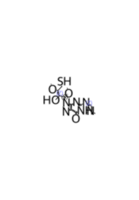 CO/C(CS)=C(\O)[C@H](OC)n1cnc2c(=O)[nH]c(/N=C\N(C)C)nc21